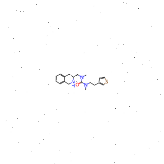 CN(CCc1ccsc1)C(=O)N(C)C[C@@H]1Cc2ccccc2CN1